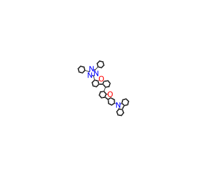 c1ccc(-c2nc(-c3ccccc3)nc(-c3cccc4c3oc3cccc(-c5cccc6c5oc5cc(-n7c8ccccc8c8ccccc87)ccc56)c34)n2)cc1